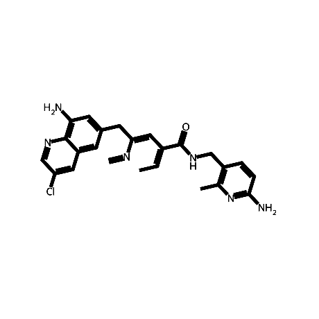 C=N/C(=C\C(=C/C)C(=O)NCc1ccc(N)nc1C)Cc1cc(N)c2ncc(Cl)cc2c1